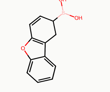 OB(O)C1C=Cc2oc3ccccc3c2C1